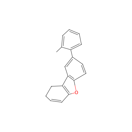 Cc1ccccc1-c1ccc2oc3c(c2c1)CCC=C3